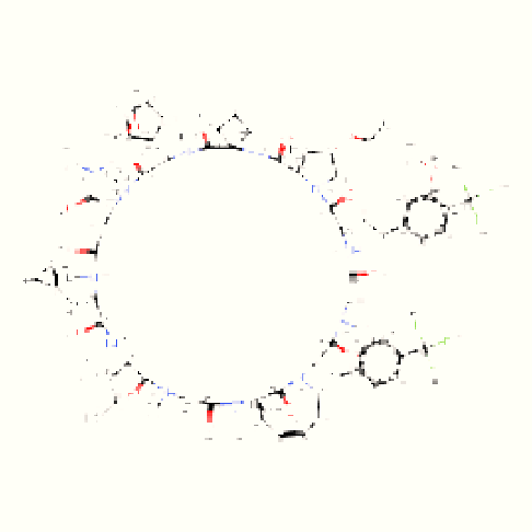 CCO[C@@H]1C[C@H]2C(=O)NC3(CCC3)C(=O)N(C)[C@@H](C3CCCC3)C(=O)N(C)[C@H](C(=O)N(C)CCOC)CC(=O)N(C)[C@@H](CC3CC3)C(=O)N[C@@H]([C@@H](C)CC)C(=O)N(C)CC(=O)N(C)[C@H]3C/C=C\CCN(C3=O)[C@@H](Cc3ccc(C(F)(F)F)cc3)C(=O)N(C)CC(=O)N[C@@H](CCc3ccc(C(F)(F)F)c(OC)c3)C(=O)N2C1